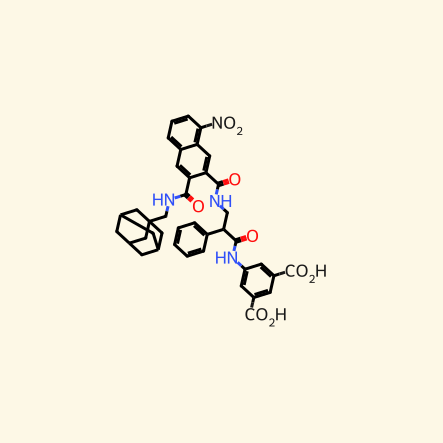 O=C(O)c1cc(NC(=O)C(CNC(=O)c2cc3c([N+](=O)[O-])cccc3cc2C(=O)NCC23CC4CC(CC(C4)C2)C3)c2ccccc2)cc(C(=O)O)c1